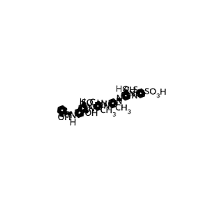 Cc1cc(N=Nc2cc(C)c(N=Nc3c(S(=O)(=O)O)cc4cc(NCOc5ccccc5O)ccc4c3O)cc2C)ccc1N=Nc1ccc(N=Nc2ccc(S(=O)(=O)O)cc2S(=O)(=O)O)c(C)c1